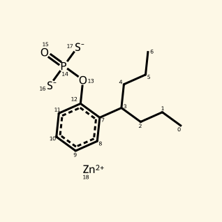 CCCC(CCC)c1ccccc1OP(=O)([S-])[S-].[Zn+2]